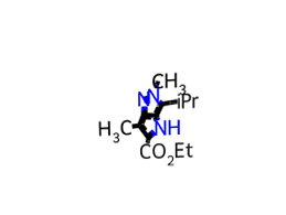 CCOC(=O)c1[nH]c2c(C(C)C)n(C)nc2c1C